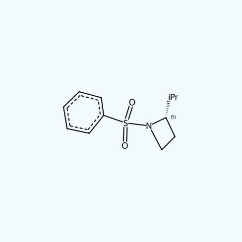 CC(C)[C@@H]1CCN1S(=O)(=O)c1ccccc1